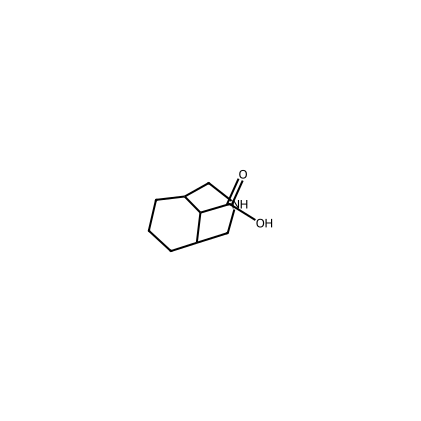 O=C(O)C1C2CCCC1CNC2